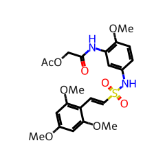 COc1cc(OC)c(C=CS(=O)(=O)Nc2ccc(OC)c(NC(=O)COC(C)=O)c2)c(OC)c1